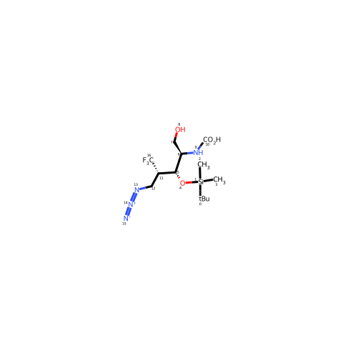 CC(C)(C)[Si](C)(C)O[C@@H]([C@@H](CO)NC(=O)O)[C@H](CN=[N+]=[N-])C(F)(F)F